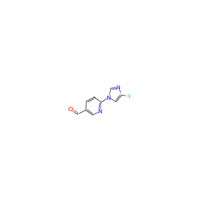 O=Cc1ccc(-n2cnc(F)c2)nc1